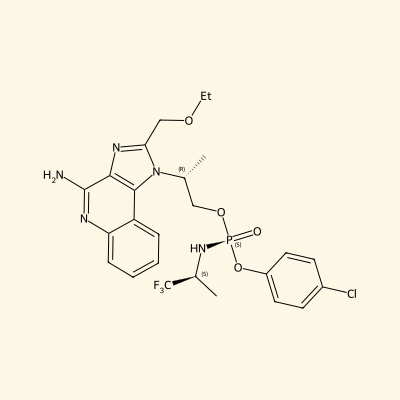 CCOCc1nc2c(N)nc3ccccc3c2n1[C@H](C)CO[P@@](=O)(N[C@@H](C)C(F)(F)F)Oc1ccc(Cl)cc1